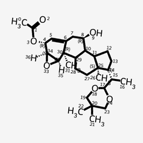 CC(=O)O[C@@H]1C=C2C[C@@H](O)C3C4CC[C@H](C(C)C5OCC(C)(C)CO5)[C@@]4(C)CCC3[C@@]2(C)[C@H]2O[C@@H]12